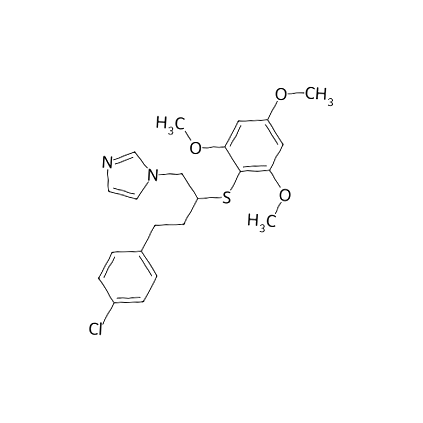 COc1cc(OC)c(SC(CCc2ccc(Cl)cc2)Cn2ccnc2)c(OC)c1